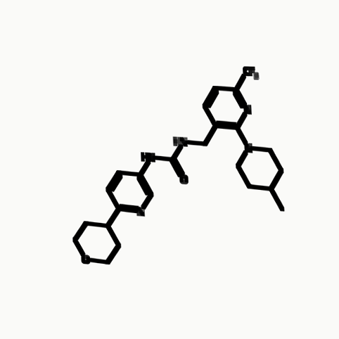 CC1CCN(c2nc(C(F)(F)F)ccc2CNC(=O)Nc2ccc(C3CCOCC3)nc2)CC1